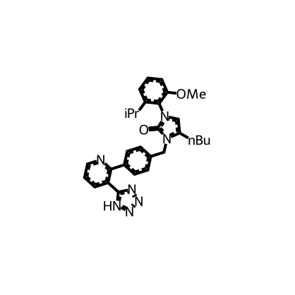 CCCCc1cn(-c2c(OC)cccc2C(C)C)c(=O)n1Cc1ccc(-c2ncccc2-c2nnn[nH]2)cc1